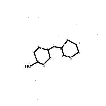 OC1CCC(CC2CCCCC2)CC1